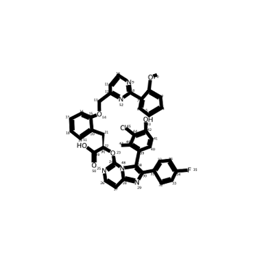 COc1ccccc1-c1nccc(COc2ccccc2C[C@@H](Oc2nccc3nc(-c4ccc(F)cc4)c(-c4ccc(O)c(Cl)c4C)n23)C(=O)O)n1